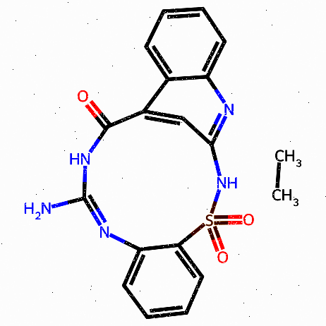 CC.NC1=Nc2ccccc2S(=O)(=O)Nc2cc(c3ccccc3n2)C(=O)N1